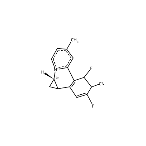 Cc1cc[n+]2c(c1)C1=C(C=C(F)C(C#N)C1F)C1C[C@@H]12